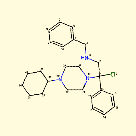 ClC(CNCc1ccccc1)(c1ccccc1)N1CCN(C2CCCCC2)CC1